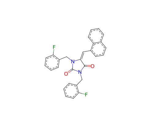 O=C1C(=Cc2cccc3ccccc23)N(Cc2ccccc2F)C(=O)N1Cc1ccccc1F